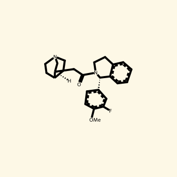 COc1ccc([C@H]2c3ccccc3CCN2C(=O)C[C@@H]2CN3CCC2CC3)cc1F